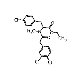 CCOC(=O)C(Cc1ccc(Cl)cc1)N(C)C(=O)Cc1ccc(Cl)c(Cl)c1